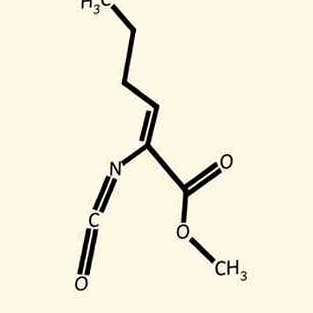 CCCC=C(N=C=O)C(=O)OC